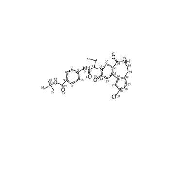 CCC(C(=O)Nc1ccc(C(=O)OC(C)(C)C)cc1)n1cc2c(cc1=O)-c1cc(Cl)ccc1CCNC2=O